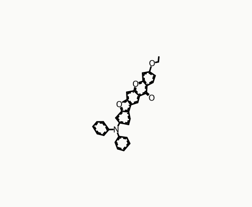 CCOc1ccc2c(=O)c3cc4c(cc3oc2c1)oc1cc(N(c2ccccc2)c2ccccc2)ccc14